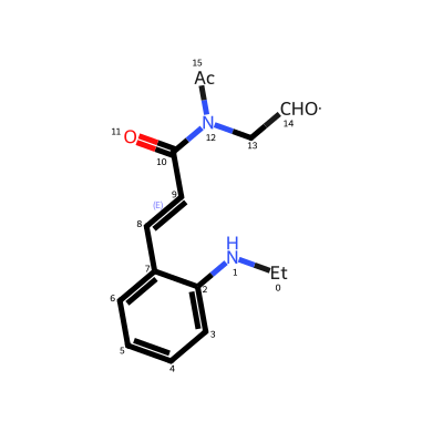 CCNc1ccccc1/C=C/C(=O)N(C[C]=O)C(C)=O